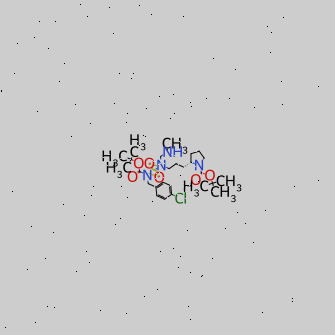 CNCN(CCC[C@@H]1CCCN1C(=O)OC(C)(C)C)S(=O)(=O)N(Cc1ccc(Cl)cc1)C(=O)OC(C)(C)C